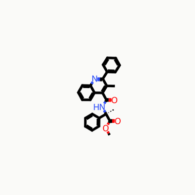 COC(=O)[C@](C)(NC(=O)c1c(C)c(-c2ccccc2)nc2ccccc12)c1ccccc1